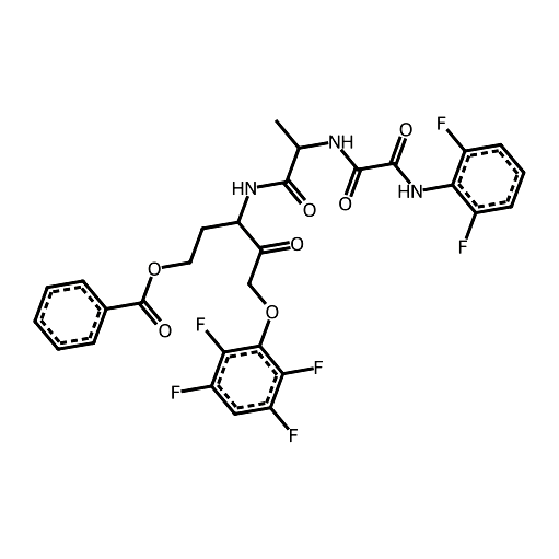 CC(NC(=O)C(=O)Nc1c(F)cccc1F)C(=O)NC(CCOC(=O)c1ccccc1)C(=O)COc1c(F)c(F)cc(F)c1F